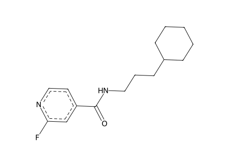 O=C(NCCCC1CCCCC1)c1ccnc(F)c1